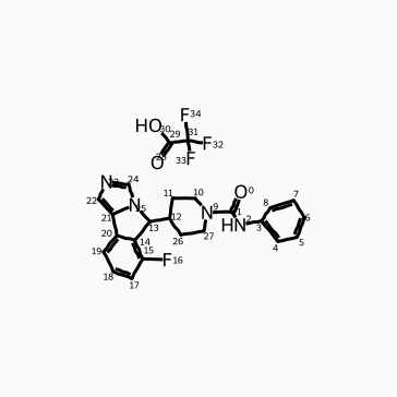 O=C(Nc1ccccc1)N1CCC(C2c3c(F)cccc3-c3cncn32)CC1.O=C(O)C(F)(F)F